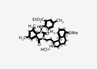 CCOC(=O)c1cc(C)cc(C)c1Nn1c(=O)n(CCC2NCC3CCc4c(OC)cccc4C32)c(=O)c2cc(C)cc(C)c21.Cl